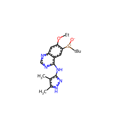 CCOc1cc2ncnc(Nc3n[nH]c(C)c3C)c2cc1[S+]([O-])C(C)(C)C